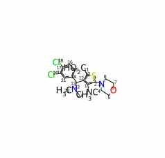 [C-]#[N+]c1c(N2CCOCC2)sc(C(=O)O)c1C(c1ccc(Cl)c(Cl)c1)N(C)C